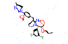 CCCO[C@@H]1CON=C2/C(=C/c3ccc(-n4cnc(C)c4)c(OC)c3)CCCN2[C@H]1c1cc(F)cc(F)c1